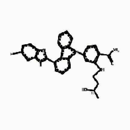 C[C@@H](O)CCNc1cc(-n2c3ccccc3c3c(-c4nc5ccc(F)cc5[nH]4)cccc32)ccc1C(N)=O